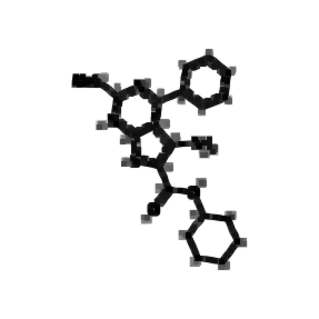 CSc1nc(-c2ccccc2)c2c(N)c(C(=O)OC3CCCCC3)sc2n1